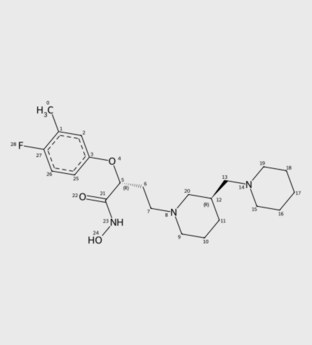 Cc1cc(O[C@H](CCN2CCC[C@H](CN3CCCCC3)C2)C(=O)NO)ccc1F